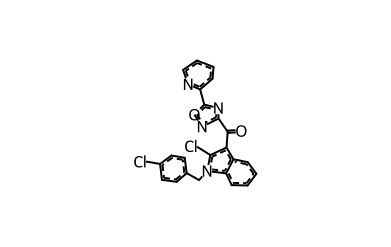 O=C(c1noc(-c2ccccn2)n1)c1c(Cl)n(Cc2ccc(Cl)cc2)c2ccccc12